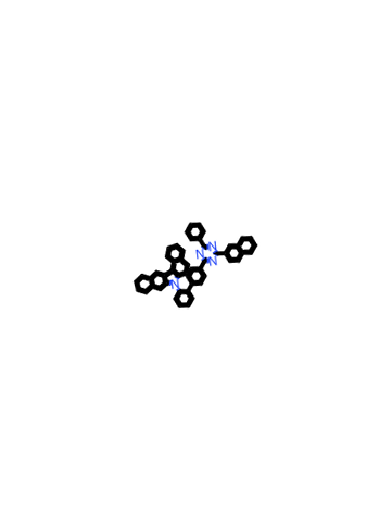 c1ccc(-c2nc(-c3ccc(-c4ccccc4-n4c5cc6ccccc6cc5c5c6ccccc6ccc54)cc3)nc(-c3ccc4ccccc4c3)n2)cc1